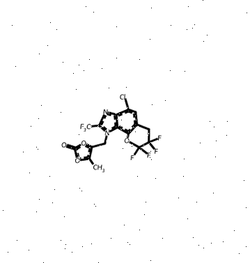 Cc1oc(=O)oc1Cn1c(C(F)(F)F)nc2c(Cl)cc3c(c21)OC(F)(F)C(F)(F)C3